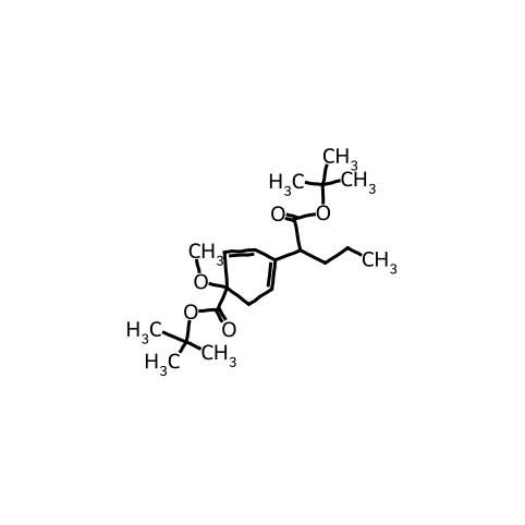 CCCC(C(=O)OC(C)(C)C)C1=CCC(OC)(C(=O)OC(C)(C)C)C=C1